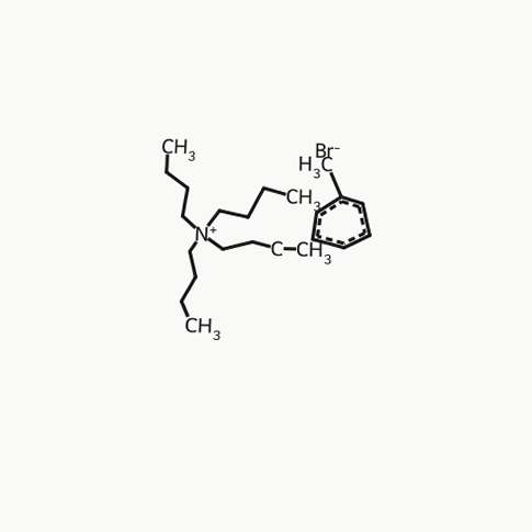 CCCC[N+](CCCC)(CCCC)CCCC.Cc1ccccc1.[Br-]